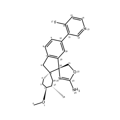 CO[C@H]1CC[C@@]2(Cc3ccc(-c4cnccc4F)cc3[C@@]23COC(N)=N3)C[C@@H]1C